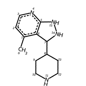 Cc1ccnc2c1C(C1CCNCC1)NN2